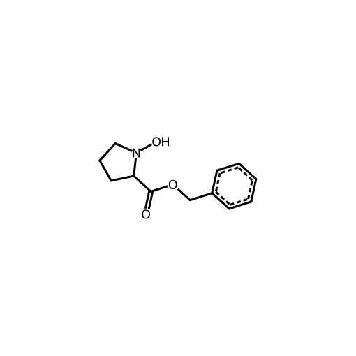 O=C(OCc1ccccc1)C1CCCN1O